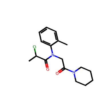 Cc1ccccc1N(CC(=O)N1CCCCC1)C(=O)C(C)Cl